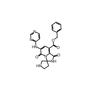 O=C(OCc1ccccc1)c1cc(Nc2ccncn2)c(=O)n2c1C(=O)NC21CCNC1